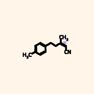 C/C(=C/C#N)CCc1ccc(C)cc1